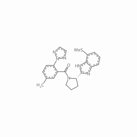 CSc1cccc2nc([C@@H]3CCCN3C(=O)c3cc(C)ccc3-n3nccn3)[nH]c12